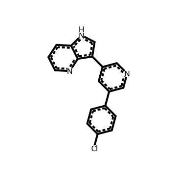 Clc1ccc(-c2cncc(-c3c[nH]c4cccnc34)c2)cc1